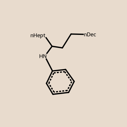 CCCCCCCCCCCCC(CCCCCCC)Nc1ccccc1